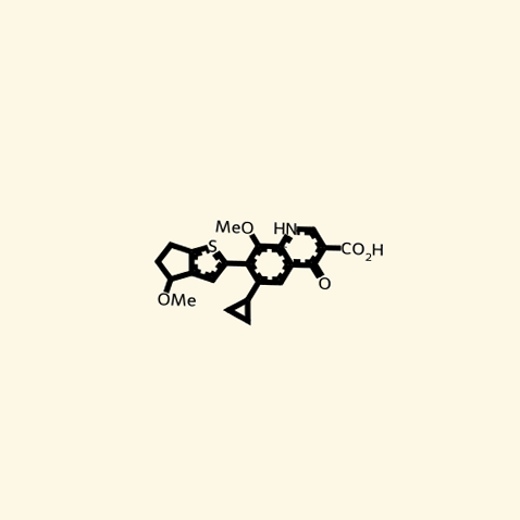 COc1c(-c2cc3c(s2)CCC3OC)c(C2CC2)cc2c(=O)c(C(=O)O)c[nH]c12